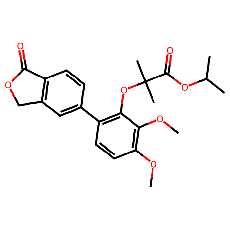 COc1ccc(-c2ccc3c(c2)COC3=O)c(OC(C)(C)C(=O)OC(C)C)c1OC